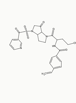 C=Cc1ccc(C(=O)NC(CCC)C(=O)N2CCC3C2C(=O)CN3S(=O)(=O)C(=O)c2cccnc2)cc1